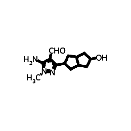 Cn1nc(C2CC3CC(O)CC3C2)c(C=O)c1N